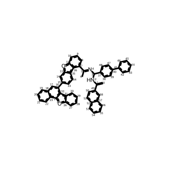 C=C(NC(/N=C(\C)c1cccc2oc3cc(-c4cc5ccccc5c5oc6ccccc6c45)ccc3c12)c1ccc(-c2ccccc2)cc1)c1ccc2ccccc2c1